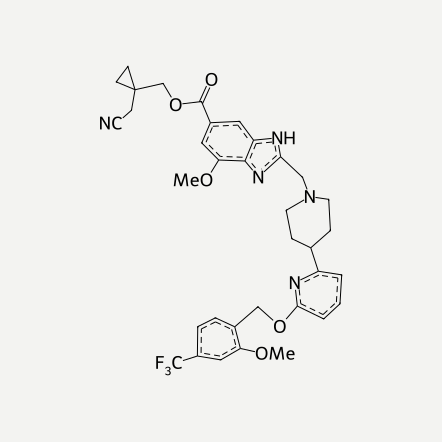 COc1cc(C(F)(F)F)ccc1COc1cccc(C2CCN(Cc3nc4c(OC)cc(C(=O)OCC5(CC#N)CC5)cc4[nH]3)CC2)n1